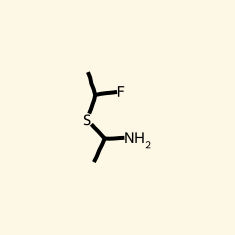 CC(N)SC(C)F